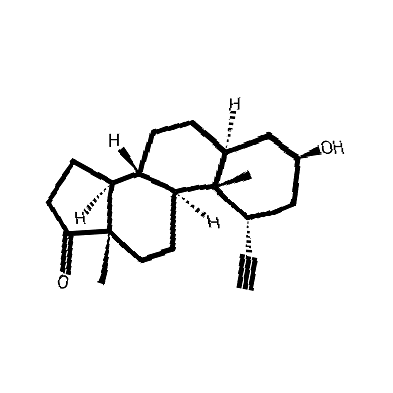 C#C[C@H]1C[C@H](O)C[C@@H]2CC[C@@H]3[C@H](CC[C@]4(C)C(=O)CC[C@@H]34)[C@]21C